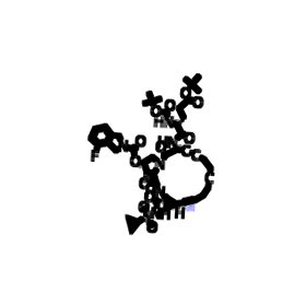 CC(C)(C)OC(=O)CC[C@@H](NC(=O)OC(C)(C)C)C(=O)N[C@H]1CCCCCCC/C=C\[C@@H]2C[C@@]2(C(=O)NS(=O)(=O)C2CC2)NC(=O)[C@@H]2C[C@@H](OC(=O)N3Cc4cccc(F)c4C3)CN2C1=O